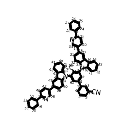 N#Cc1cccc(-c2cc(-n3c4ccccc4c4cc(-c5ccc(-c6ccccc6)nc5)ccc43)c(C(F)(F)F)c(-n3c4ccccc4c4cc(-c5ccc(-c6ccccc6)nc5)ccc43)c2)c1